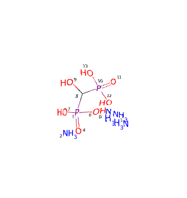 N.N.N.N.O=P(O)(O)C(O)P(=O)(O)O